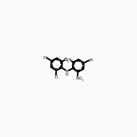 CC(C)c1cc([N+](=O)[O-])c(Nc2c(Cl)cc(Cl)cc2Cl)c([N+](=O)[O-])c1